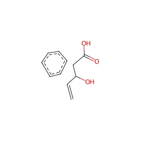 C=CC(O)CC(=O)O.c1ccccc1